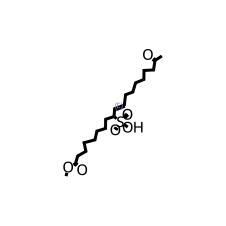 COC(=O)CCCCCCCC(/C=C/CCCCCCC(C)=O)S(=O)(=O)O